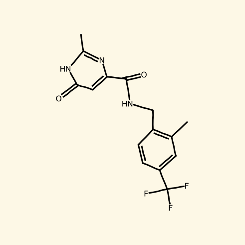 Cc1nc(C(=O)NCc2ccc(C(F)(F)F)cc2C)cc(=O)[nH]1